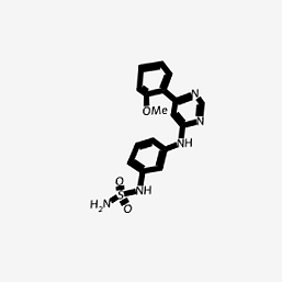 COc1ccccc1-c1cc(Nc2cccc(NS(N)(=O)=O)c2)ncn1